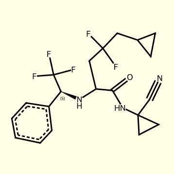 N#CC1(NC(=O)C(CC(F)(F)CC2CC2)N[C@@H](c2ccccc2)C(F)(F)F)CC1